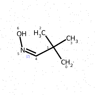 [CH2]C(C)(C)/C=N\O